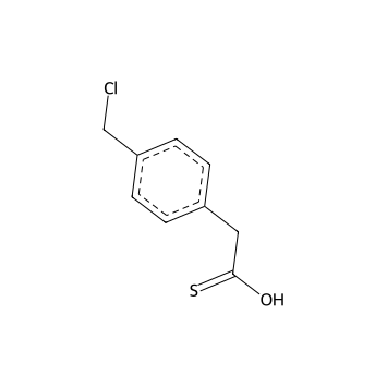 OC(=S)Cc1ccc(CCl)cc1